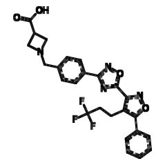 O=C(O)C1CN(Cc2ccc(-c3noc(-c4noc(-c5ccccc5)c4CCC(F)(F)F)n3)cc2)C1